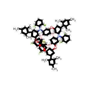 Cc1cc(C)c(-c2cc3c4c(c2)Oc2c(sc5ccc(F)cc25)B4c2cc4c(cc2O3)N(c2c(F)cccc2F)c2cc(-c3c(C)cc(C)cc3C)cc3c2B4c2cc4c(cc2O3)N(c2c(F)cccc2F)c2cc(-c3c(C)cc(C)cc3C)cc3c2B4c2sc4ccc(F)cc4c2O3)c(C)c1